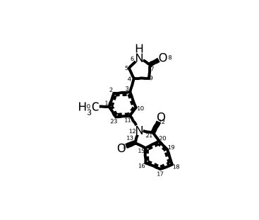 Cc1cc(C2CNC(=O)C2)cc(N2C(=O)c3ccccc3C2=O)c1